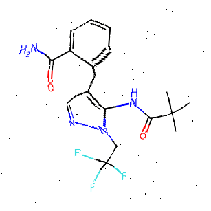 CC(C)(C)C(=O)Nc1c(-c2ccccc2C(N)=O)cnn1CC(F)(F)F